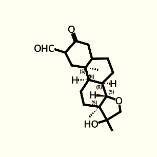 CC1(O)CO[C@H]2[C@@H]3CCC4CC(=O)C(C=O)C[C@]4(C)[C@@H]3CC[C@@]21C